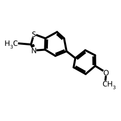 COc1ccc(-c2ccc3sc(C)nc3c2)cc1